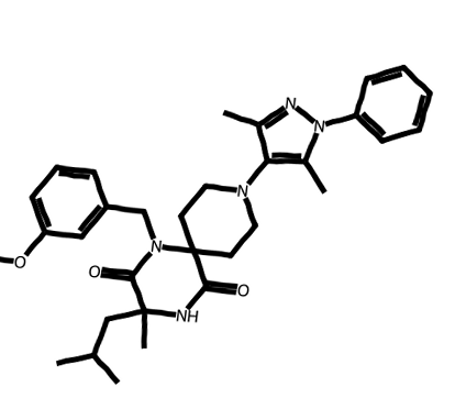 COc1cccc(CN2C(=O)C(C)(CC(C)C)NC(=O)C23CCN(c2c(C)nn(-c4ccccc4)c2C)CC3)c1